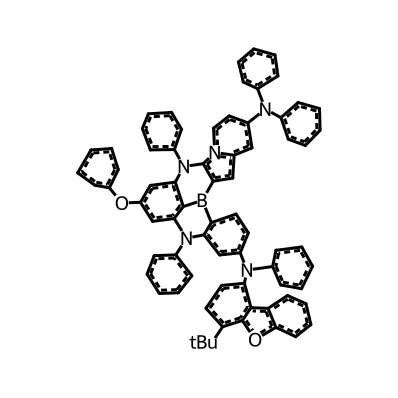 CC(C)(C)c1ccc(N(c2ccccc2)c2ccc3c(c2)N(c2ccccc2)c2cc(Oc4ccccc4)cc4c2B3c2cc3cc(N(c5ccccc5)c5ccccc5)ccn3c2N4c2ccccc2)c2c1oc1ccccc12